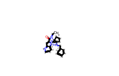 CCN(C(=O)c1cc2ncccc2[nH]1)[C@]12CCC[C@]1(NCc1ccccc1)C2